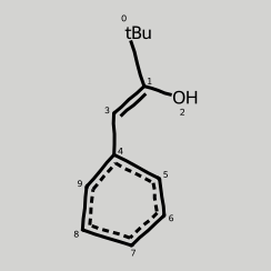 CC(C)(C)C(O)=Cc1ccccc1